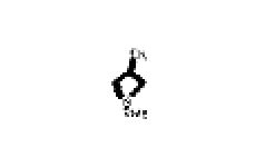 CSN1CC(C#N)C1